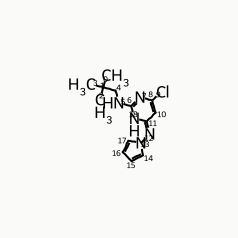 CC(C)(C)CNc1nc(Cl)cc(=Nn2cccc2)[nH]1